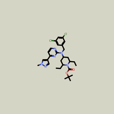 CCC1CC(N(Cc2cc(Cl)cc(Cl)c2)c2nccc(-c3cnn(C)c3)n2)CC(CC)N1C(=O)OC(C)(C)C